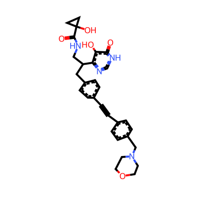 O=C(NCC(Cc1ccc(C#Cc2ccc(CN3CCOCC3)cc2)cc1)c1nc[nH]c(=O)c1O)C1(O)CC1